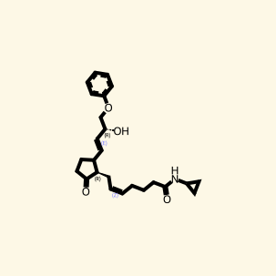 O=C(CCC/C=C\C[C@H]1C(=O)CCC1/C=C/[C@@H](O)COc1ccccc1)NC1CC1